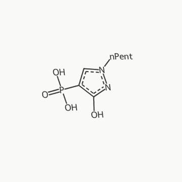 CCCCCn1cc(P(=O)(O)O)c(O)n1